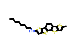 CCCCCCCCNc1cc2sc3c(ccc4c5sc(C)cc5sc43)c2s1